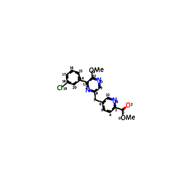 COC(=O)c1ccc(Cc2cnc(OC)c(-c3cccc(Cl)c3)n2)cn1